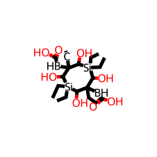 CCC1(BC(=O)O)C(O)[Si](CC)(CC)C(O)C(BC(=O)O)(CC)C(O)[Si](CC)(CC)C1O